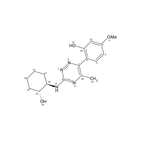 COc1ccc(-c2nnc(N[C@@H]3CCCC[C@H]3O)nc2C)c(O)c1